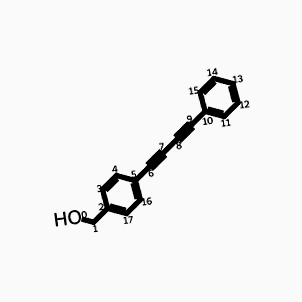 OCc1ccc(C#CC#Cc2ccccc2)cc1